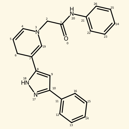 O=C(CN1C=CCC(c2cc(-c3cc[c]cc3)n[nH]2)=C1)Nc1ccccc1